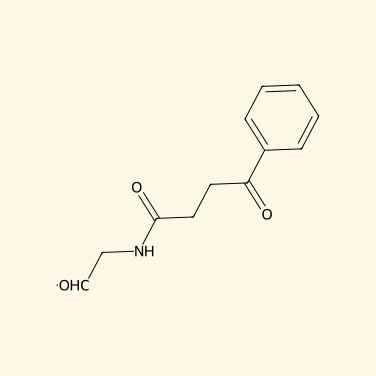 O=[C]CNC(=O)CCC(=O)c1ccccc1